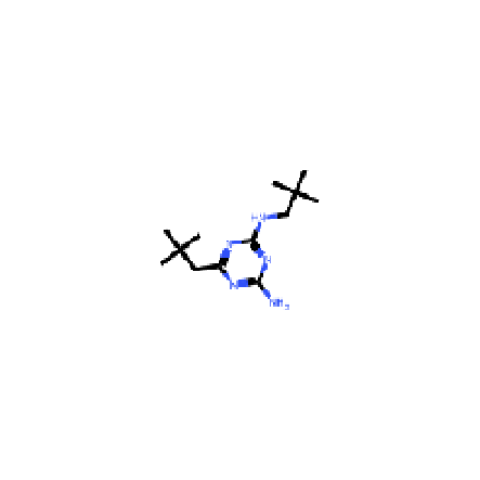 CC(C)(C)CNc1nc(N)nc(CC(C)(C)C)n1